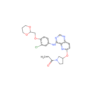 C=CC(=O)N1CCC(Oc2ccc3ncnc(Nc4ccc(OCC5OCCCO5)c(Cl)c4)c3n2)C1